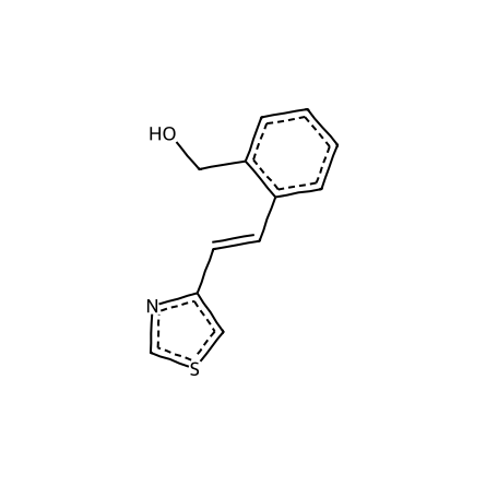 OCc1ccccc1C=Cc1cscn1